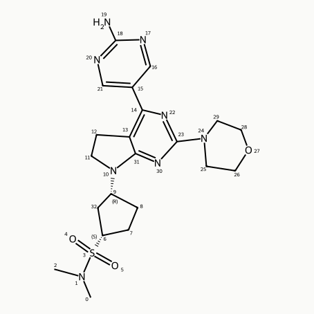 CN(C)S(=O)(=O)[C@H]1CC[C@@H](N2CCc3c(-c4cnc(N)nc4)nc(N4CCOCC4)nc32)C1